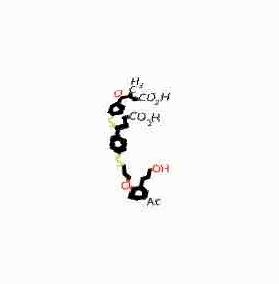 CC(=O)c1ccc(OCCCSc2ccc(C(CCC(=O)O)Sc3ccc(C(=O)C(C)CC(=O)O)cc3)cc2)c(CCCO)c1